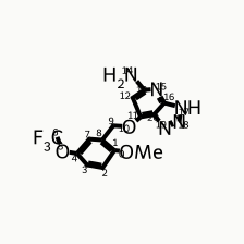 COc1ccc(OC(F)(F)F)cc1COc1cc(N)nc2[nH]nnc12